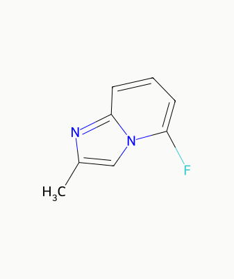 Cc1cn2c(F)cccc2n1